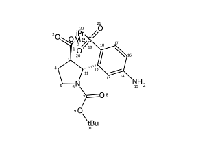 COC(=O)[C@@H]1CCN(C(=O)OC(C)(C)C)[C@H]1c1cc(N)ccc1S(=O)(=O)C(C)C